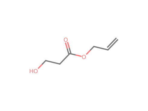 C=CCOC(=O)CCO